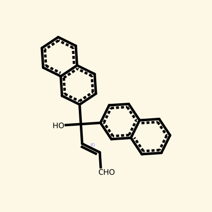 O=C/C=C/C(O)(c1ccc2ccccc2c1)c1ccc2ccccc2c1